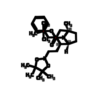 CC(C)(C)OC(=O)N1[C@H]2CC[C@]1(C)CN(Cc1ccccc1)[C@@H]2CCB1OC(C)(C)C(C)(C)O1